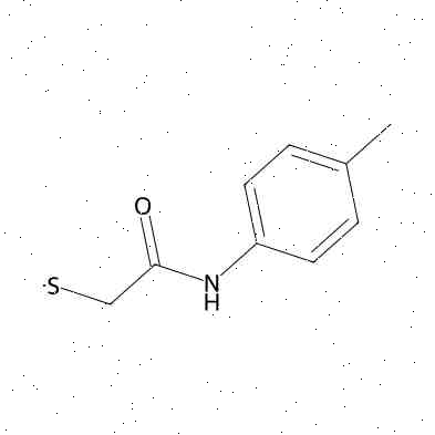 Cc1ccc(NC(=O)C[S])cc1